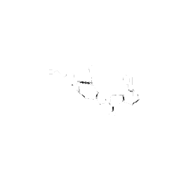 Cc1cc(CN2Cc3c(ccnc3O)C2=O)cnc1OCCF